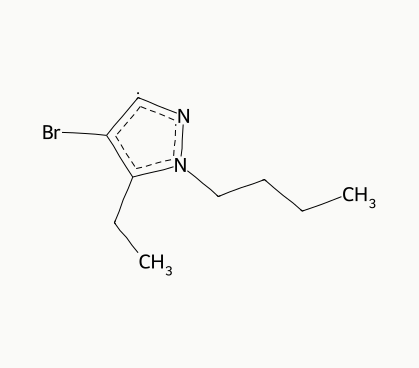 CCCCn1n[c]c(Br)c1CC